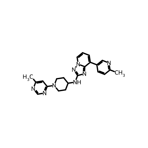 Cc1ccc(-c2cccn3nc(NC4CCN(c5cc(C)ncn5)CC4)nc23)cn1